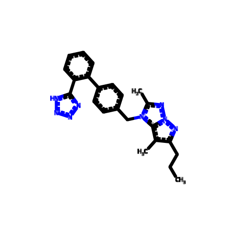 CCCc1nn2nc(C)n(Cc3ccc(-c4ccccc4-c4nnn[nH]4)cc3)c2c1C